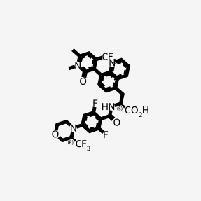 Cc1cc(C(F)(F)F)c(-c2ccc(C[C@H](NC(=O)c3c(F)cc(N4CCOC[C@@H]4C(F)(F)F)cc3F)C(=O)O)c3cccnc23)c(=O)n1C